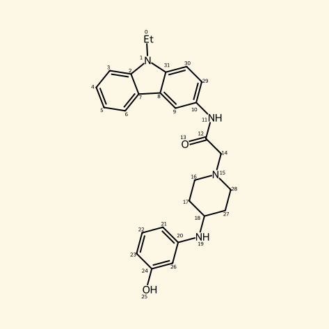 CCn1c2ccccc2c2cc(NC(=O)CN3CCC(Nc4cccc(O)c4)CC3)ccc21